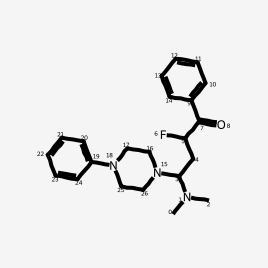 CN(C)C(CC(F)C(=O)c1ccccc1)N1CCN(c2ccccc2)CC1